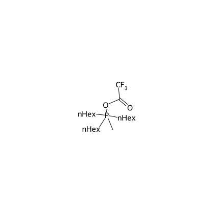 CCCCCCP(C)(CCCCCC)(CCCCCC)OC(=O)C(F)(F)F